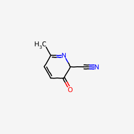 CC1=NC(C#N)C(=O)C=C1